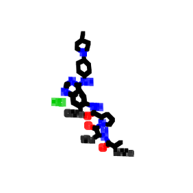 CNC(C)C(=O)NC(C(=O)N1CCCC1C(=O)Nc1cc2c(NC3CCC(N4CCC(C)CC4)CC3)ncnc2cc1OC)C(C)(C)C.Cl